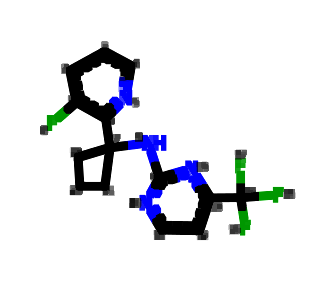 Fc1cccnc1C1(Nc2nccc(C(F)(F)F)n2)CCC1